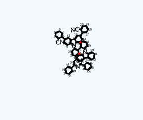 N#Cc1ccccc1-c1ccc2c(c1)c1cc(-c3ccccc3C#N)ccc1n2-c1ccc(-c2cc(-c3ccccc3)nc(-c3ccccc3)n2)cc1-c1ccccc1-n1c2ccccc2c2ccccc21